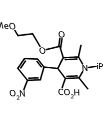 COCCOC(=O)C1=C(C)N(C(C)C)C(C)=C(C(=O)O)C1c1cccc([N+](=O)[O-])c1